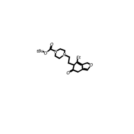 CCC1=C2COC=C2CC(=O)C1CCN1CCN(C(=O)OC(C)(C)C)CC1